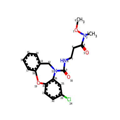 CON(C)C(=O)CCNC(=O)N1Cc2ccccc2Oc2ccc(Cl)cc21